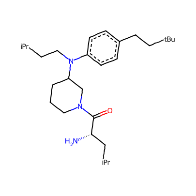 CC(C)CCN(c1ccc(CCC(C)(C)C)cc1)C1CCCN(C(=O)[C@@H](N)CC(C)C)C1